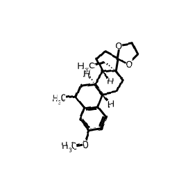 CC[C@]12CC[C@@H]3c4ccc(OC)cc4C(C)C[C@H]3[C@@H]1CCC21OCCO1